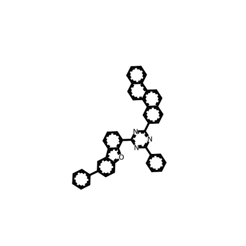 c1ccc(-c2ccc3oc4c(-c5nc(-c6ccccc6)nc(-c6ccc7ccc8c9ccccc9ccc8c7c6)n5)cccc4c3c2)cc1